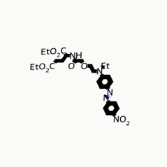 CCOC(=O)CCC(NC(=O)COCCN(CC)c1ccc(/N=N/c2ccc([N+](=O)[O-])cc2)cc1)C(=O)OCC